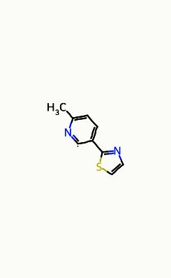 Cc1ccc(-c2nccs2)[c]n1